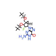 CC(C)(C)[Si](C)(C)OC[C@@]12C[C@@H]1[C@@H](n1cnc3c(=O)[nH]c(N)nc31)[C@H](F)C2O[Si](C)(C)C(C)(C)C